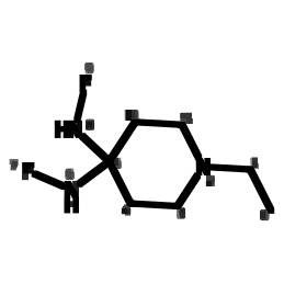 CCN1CCC(NF)(NF)CC1